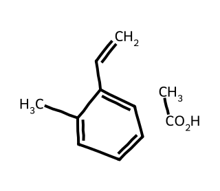 C=Cc1ccccc1C.CC(=O)O